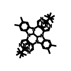 Cc1cc2c(cc1C)N(c1cnc(C(C)(C)C)nc1)C(C1N(c3cnc(C(C)(C)C)nc3)c3cc(C)c(C)cc3N1c1cnc(C(C)(C)C)nc1)N2c1cnc(C(C)(C)C)nc1